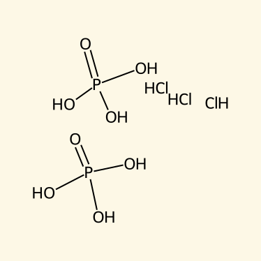 Cl.Cl.Cl.O=P(O)(O)O.O=P(O)(O)O